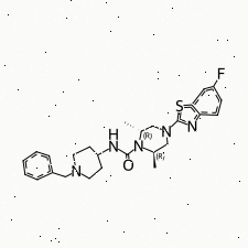 C[C@@H]1CN(c2nc3ccc(F)cc3s2)C[C@@H](C)N1C(=O)NC1CCN(Cc2ccccc2)CC1